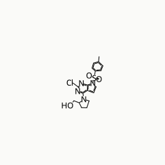 Cc1ccc(S(=O)(=O)n2ccc3c(N4CCCC4CO)nc(Cl)nc32)cc1